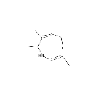 C/C1=C/NC(C)/C(C)=C\CC1